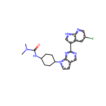 CN(C)C(=O)NC1CCC(n2ccc3cnc(-c4c[nH]c5ncc(F)cc45)nc32)CC1